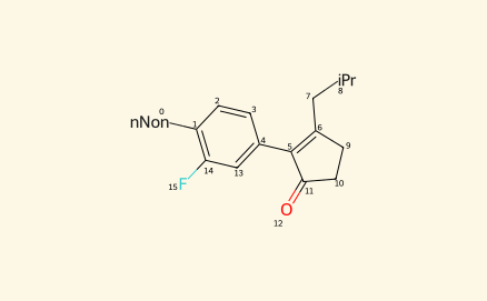 CCCCCCCCCc1ccc(C2=C(CC(C)C)CCC2=O)cc1F